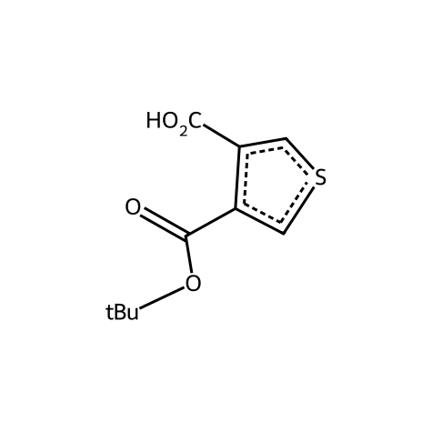 CC(C)(C)OC(=O)c1cscc1C(=O)O